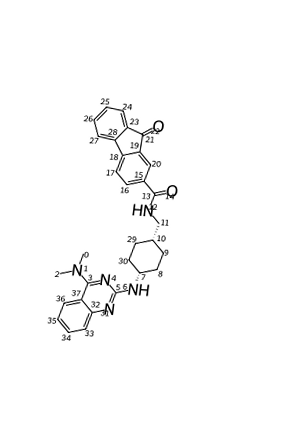 CN(C)c1nc(N[C@H]2CC[C@@H](CNC(=O)c3ccc4c(c3)C(=O)c3ccccc3-4)CC2)nc2ccccc12